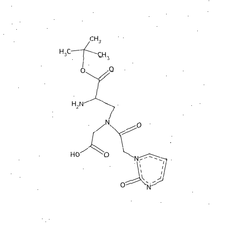 CC(C)(C)OC(=O)C(N)CN(CC(=O)O)C(=O)Cn1cccnc1=O